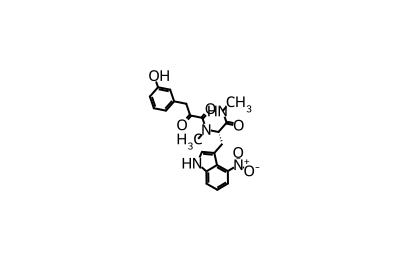 CNC(=O)[C@H](Cc1c[nH]c2cccc([N+](=O)[O-])c12)N(C)C(=O)C(=O)Cc1cccc(O)c1